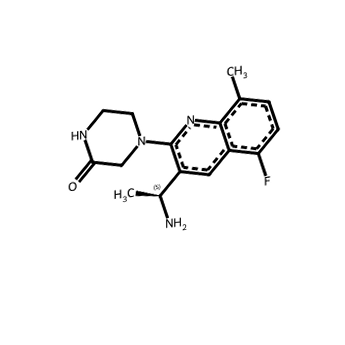 Cc1ccc(F)c2cc([C@H](C)N)c(N3CCNC(=O)C3)nc12